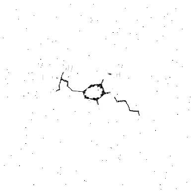 CCCCCOc1c(Cl)cc(CC[C@@](C)(N)CO)cc1OC